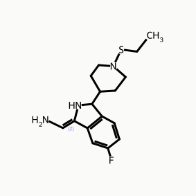 CCSN1CCC(C2N/C(=C\N)c3cc(F)ccc32)CC1